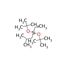 CC[Si](CC(C)C)(OC(C)(C)C)OC(C)(C)C